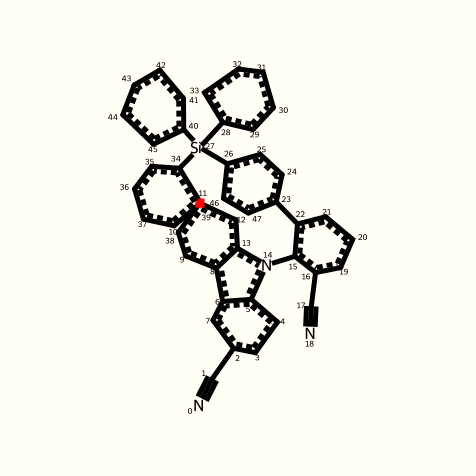 N#Cc1ccc2c(c1)c1ccccc1n2-c1c(C#N)cccc1-c1ccc([Si](c2ccccc2)(c2ccccc2)c2ccccc2)cc1